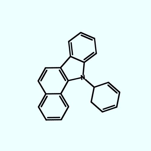 C1=CCC(n2c3ccccc3c3ccc4ccccc4c32)C=C1